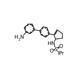 CC(C)S(=O)(=O)NC1CCC=C1c1ccc(-c2cccc(N)c2)cc1